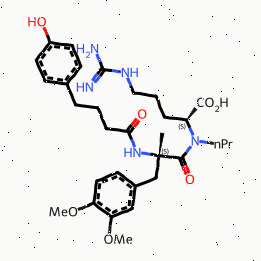 CCCN(C(=O)[C@](C)(Cc1ccc(OC)c(OC)c1)NC(=O)CCCc1ccc(O)cc1)[C@@H](CCCNC(=N)N)C(=O)O